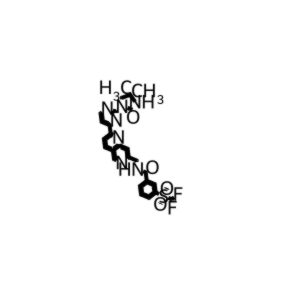 CC1(C)CN(c2nccc(-c3ccc4cnc(CNC(=O)c5cccc(S(=O)(=O)C(F)F)c5)cc4n3)n2)C(=O)N1